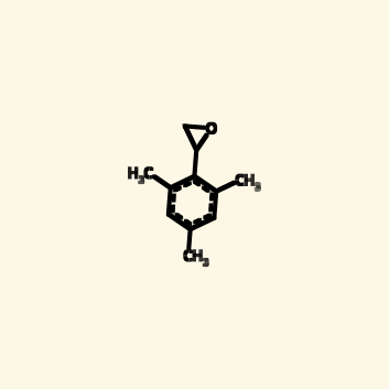 Cc1cc(C)c(C2CO2)c(C)c1